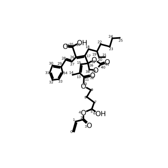 C=CC(=O)OC(O)CCCOC(=O)C(C)=CC1(C(CC(CC)CCCC)=C(C=Cc2ccccc2)C(=O)O)COC(=O)O1